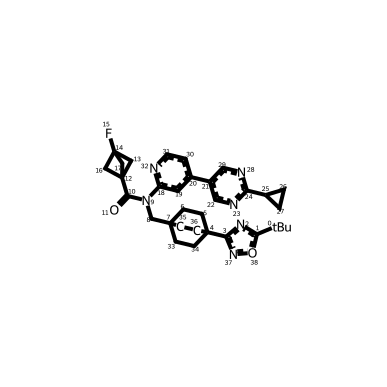 CC(C)(C)c1nc(C23CCC(CN(C(=O)C45CC(F)(C4)C5)c4cc(-c5cnc(C6CC6)nc5)ccn4)(CC2)CC3)no1